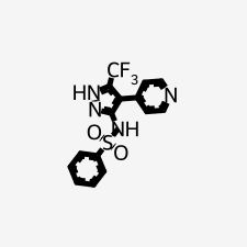 O=S(=O)(Nc1n[nH]c(C(F)(F)F)c1-c1ccncc1)c1ccccc1